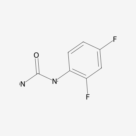 [N]C(=O)[N]c1ccc(F)cc1F